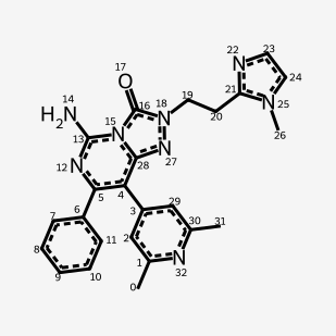 Cc1cc(-c2c(-c3ccccc3)nc(N)n3c(=O)n(CCc4nccn4C)nc23)cc(C)n1